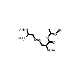 CC(=O)NC(CSSCC(NC(C)=O)C(=O)OC(C)OC(C)C)C(=O)O